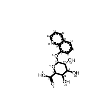 O=C(O)C1O[C@@H](Oc2cccc3cccnc23)[C@H](O)C(O)C1O